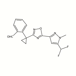 Cn1nc(-c2nc(C3(c4ccccc4C=O)CC3)no2)cc1C(F)F